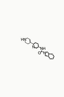 O=C(Nc1ccc(C2=CCNCC2)nc1)n1cc2ccccc2c1